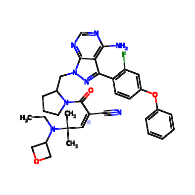 CCN(C1COC1)C(C)(C)/C=C(/C#N)C(=O)N1CCCC1Cn1nc(-c2ccc(Oc3ccccc3)cc2F)c2c(N)ncnc21